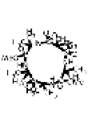 COP1(=O)NC(C)(C)S(=O)(=O)C(C)(C)NP(=O)(OC)C(C)(C)NS(=O)(=O)C(C)(C)S(=O)(=O)NC1(C)C